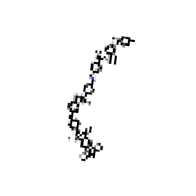 Cc1ccc(Oc2ccc(NC(=O)c3ccc(/C=C/c4ccc(C(=O)Nc5ccc(Oc6ccc(-n7c(=O)c8cc9c(=O)n(C)c(=O)c9cc8c7=O)cc6)cc5)cc4)cc3)cc2)cc1